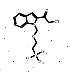 CS(C)(C)CCOCn1c(C(=O)CC#N)cc2ccccc21